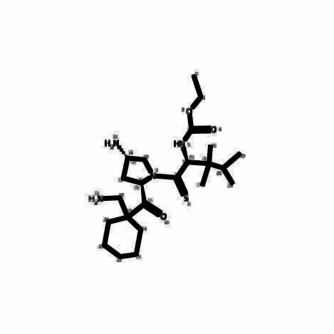 CCOC(=O)N[C@H](C(=S)N1C[C@@H](N)C[C@@H]1C(=O)C1(CN)CCCCC1)C(C)(C)C(C)C